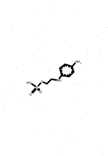 Nc1ccc(NCCSS(=O)(=O)O)cc1